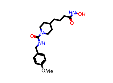 COc1ccc(CNC(=O)N2CCC(CCCC(=O)NO)CC2)cc1